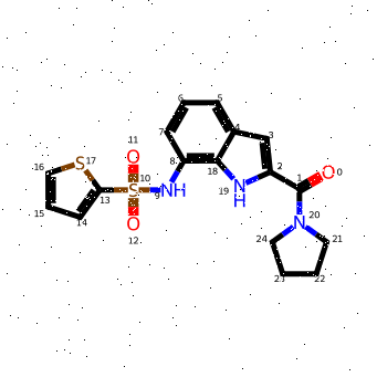 O=C(c1cc2cccc(NS(=O)(=O)c3cccs3)c2[nH]1)N1CCCC1